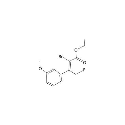 CCOC(=O)C(Br)=C(CF)c1cccc(OC)c1